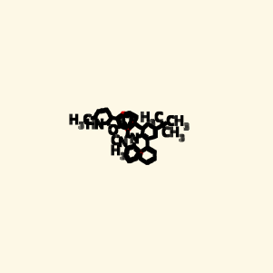 CC1C=CC2c3cccc(C4N(C)c5ccccc5N4C4=C(C5=CC=CCC5)C=C(C(C)(C)C)CC4C4C=CCCC4)c3OC2N1